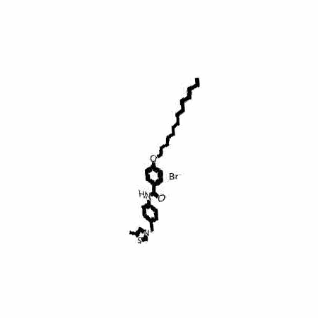 CCCCCCCCCCCCCCOc1ccc(C(=O)Nc2ccc(C[n+]3csc(C)c3)cc2)cc1.[Br-]